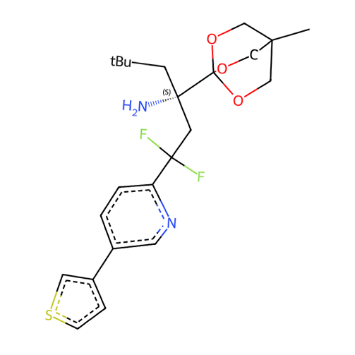 CC(C)(C)C[C@](N)(CC(F)(F)c1ccc(-c2ccsc2)cn1)C12OCC(C)(CO1)CO2